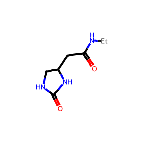 CCNC(=O)CC1CNC(=O)N1